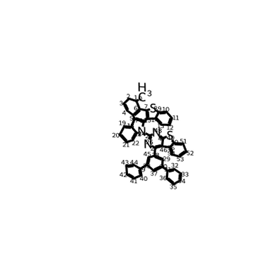 CC1CC=Cc2c1c1sc3ccccc3c1c1c2c2ccccc2n1-c1nc(-c2cc(-c3ccccc3)cc(-c3ccccc3)c2)c2c(n1)sc1ccccc12